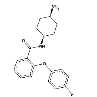 N[C@H]1CC[C@@H](NC(=O)c2cccnc2Oc2ccc(F)cc2)CC1